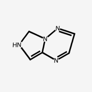 C1=NC2=CNCN2N=C1